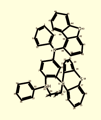 c1ccc(N(c2ccc3c(c2)[Si]2(c4ccccc4Sc4ccccc42)c2ccccc2[SiH]3c2ccccc2)c2cccc3oc4ccccc4c23)cc1